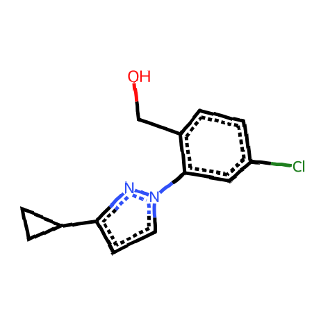 OCc1ccc(Cl)cc1-n1ccc(C2CC2)n1